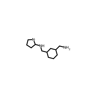 NCC1CCCC(CNC2CCC[N]2)C1